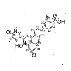 Cn1cc(/C(CC(c2ccc(-c3ccc(C(=O)O)c(F)c3)cc2)c2ccc(Cl)cc2F)=N\O)ccc1=O